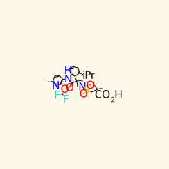 Cc1ccc(NC(=O)C2(c3ccccc3C(C)C)CN(S(=O)(=O)CC(C)(C)C(=O)O)C2)c(OC(F)F)n1